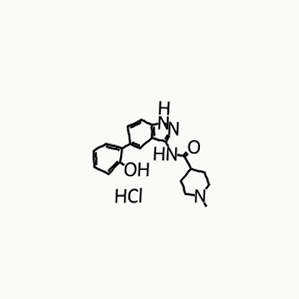 CN1CCC(C(=O)Nc2n[nH]c3ccc(-c4ccccc4O)cc23)CC1.Cl